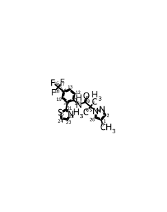 Cc1cnn(C(C)(C)C(=O)Nc2ccc(C(F)(F)F)cc2-c2nccs2)c1